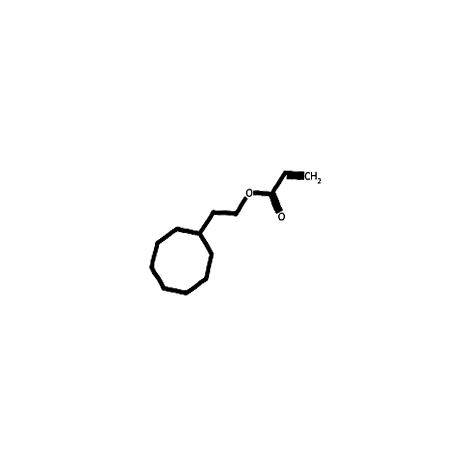 C=CC(=O)OCCC1CCCCCCC1